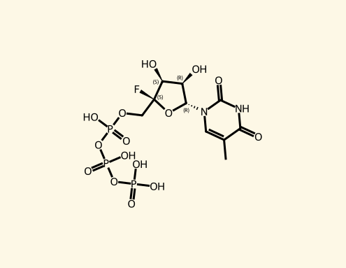 Cc1cn([C@@H]2O[C@](F)(COP(=O)(O)OP(=O)(O)OP(=O)(O)O)[C@@H](O)[C@H]2O)c(=O)[nH]c1=O